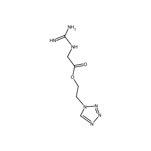 N=C(N)NCC(=O)OCCn1cnnn1